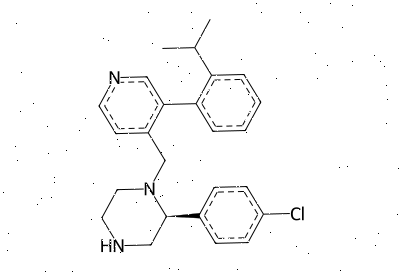 CC(C)c1ccccc1-c1cnccc1CN1CCNC[C@@H]1c1ccc(Cl)cc1